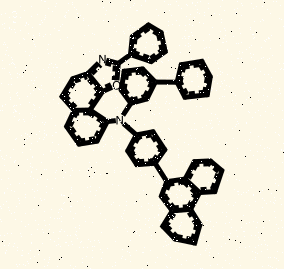 c1ccc(-c2cccc(N(c3ccc(-c4cc5ccccc5c5ccccc45)cc3)c3cccc4ccc5nc(-c6ccccc6)oc5c34)c2)cc1